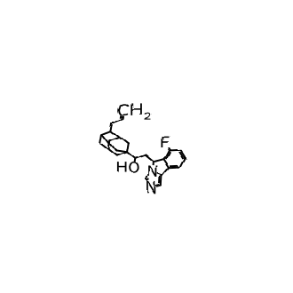 C=CCC1C2CC3CC1CC(C(O)CC1c4c(F)cccc4-c4cncn41)(C3)C2